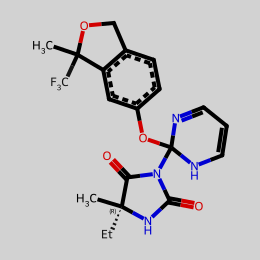 CC[C@@]1(C)NC(=O)N(C2(Oc3ccc4c(c3)C(C)(C(F)(F)F)OC4)N=CC=CN2)C1=O